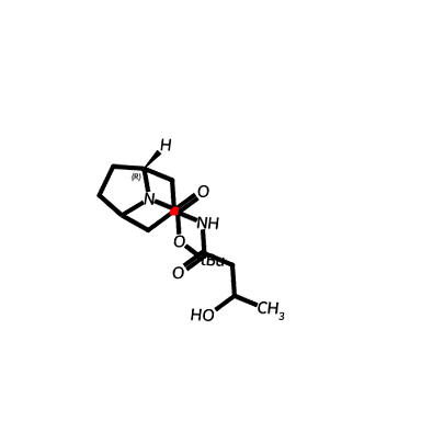 CC(O)CC(=O)NC1CC2CC[C@H](C1)N2C(=O)OC(C)(C)C